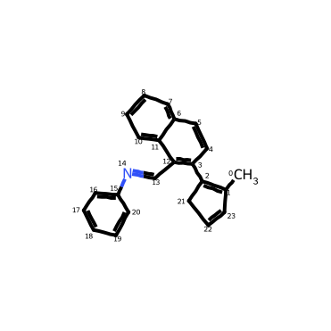 CC1=C(c2ccc3ccccc3c2C=Nc2ccccc2)CC=C1